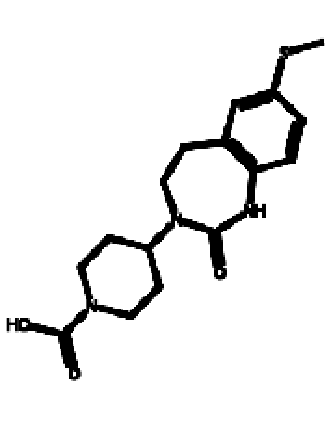 CSc1ccc2c(c1)CCN(C1CCN(C(=O)O)CC1)C(=O)N2